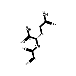 O=CC(=O)N[C@@H](CCC(=O)O)C(=O)O